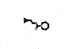 O=C([N]CCC1CC1)N1CCCCCC1